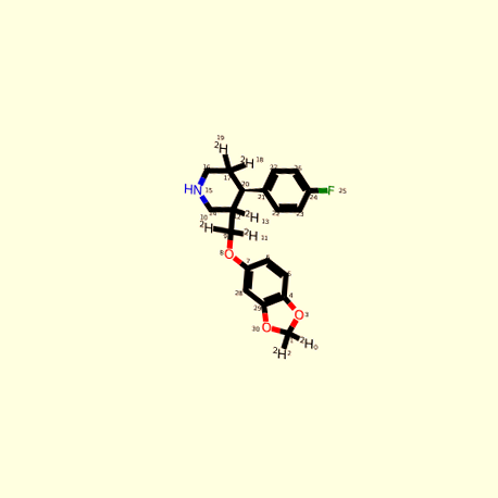 [2H]C1([2H])Oc2ccc(OC([2H])([2H])C3([2H])CNCC([2H])([2H])[C@H]3c3ccc(F)cc3)cc2O1